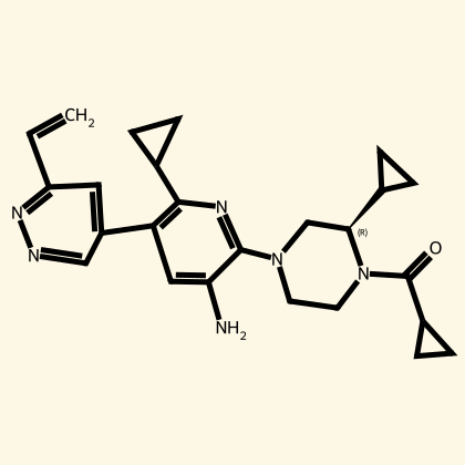 C=Cc1cc(-c2cc(N)c(N3CCN(C(=O)C4CC4)[C@H](C4CC4)C3)nc2C2CC2)cnn1